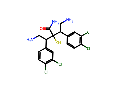 NCC(c1ccc(Cl)c(Cl)c1)C(S)(C(N)=O)C(CN)c1ccc(Cl)c(Cl)c1